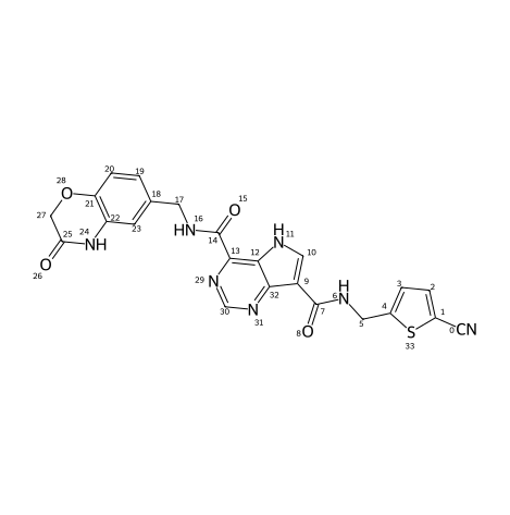 N#Cc1ccc(CNC(=O)c2c[nH]c3c(C(=O)NCc4ccc5c(c4)NC(=O)CO5)ncnc23)s1